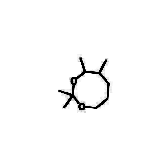 CC1CCCOC(C)(C)OC1C